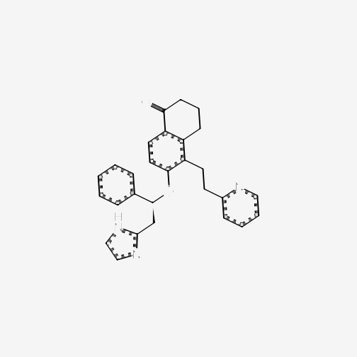 O=C1CCCc2c1ccc(O[C@@H](Cc1ncc[nH]1)c1ccccc1)c2CCc1ccccn1